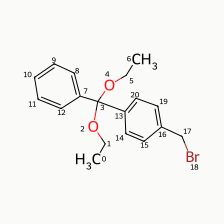 CCOC(OCC)(c1ccccc1)c1ccc(CBr)cc1